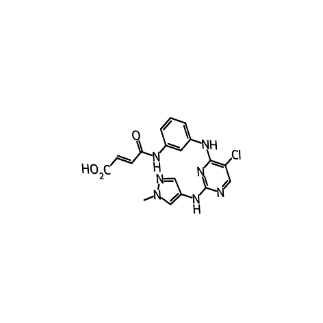 Cn1cc(Nc2ncc(Cl)c(Nc3cccc(NC(=O)C=CC(=O)O)c3)n2)cn1